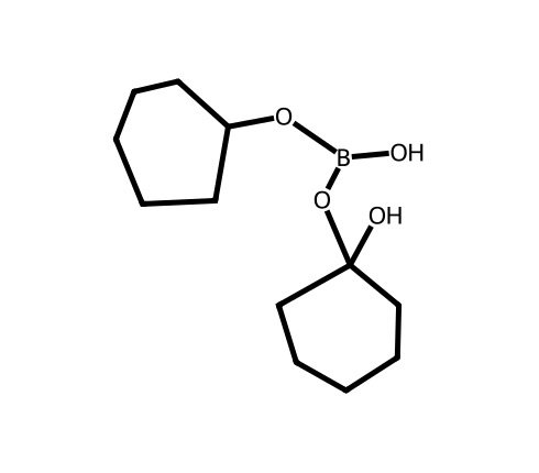 OB(OC1CCCCC1)OC1(O)CCCCC1